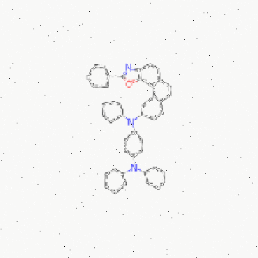 c1ccc(-c2nc3ccc4ccc5ccc(N(c6ccccc6)c6ccc(N(c7ccccc7)c7ccccc7)cc6)cc5c4c3o2)cc1